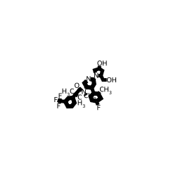 Cc1cc(F)ccc1-c1cc(N2CC(O)CC2CO)ncc1N(C)C(=O)C(C)(C)c1cccc(C(F)(F)F)c1